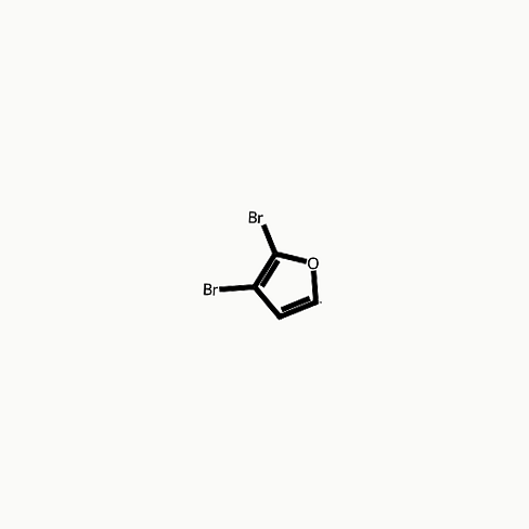 Brc1c[c]oc1Br